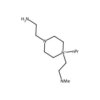 CCC[N+]1(CCNC)CCN(CCN)CC1